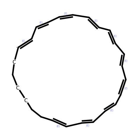 [C]1=C/C=C/C=C\C=C\C=C\C=C\C=C/C=C/C=C/C=C/CCCCCC/1